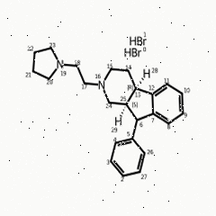 Br.Br.c1ccc(C2c3ccccc3[C@@H]3CCN(CCN4CCCC4)C[C@H]23)cc1